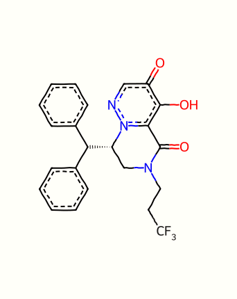 O=C1c2c(O)c(=O)cnn2[C@@H](C(c2ccccc2)c2ccccc2)CN1CCC(F)(F)F